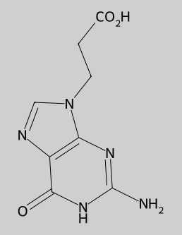 Nc1nc2c(ncn2CCC(=O)O)c(=O)[nH]1